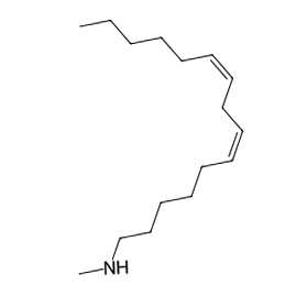 CCCCC/C=C\C/C=C\CCCCCNC